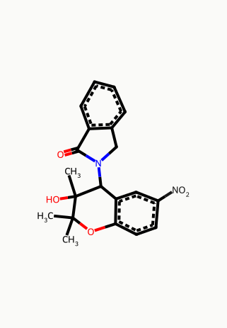 CC1(C)Oc2ccc([N+](=O)[O-])cc2C(N2Cc3ccccc3C2=O)C1(C)O